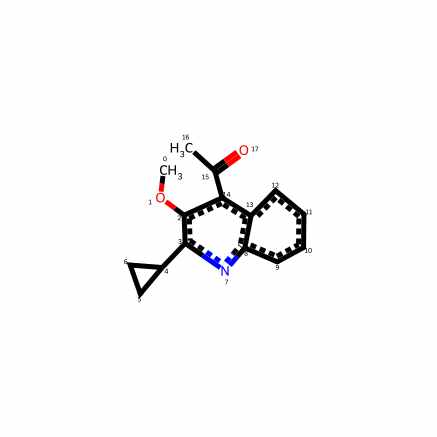 COc1c(C2CC2)nc2ccccc2c1C(C)=O